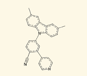 Cc1ccc2c(c1)c1cc(C)ccc1n2-c1ccc(C#N)c(-c2ccncc2)c1